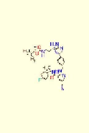 C[C@H](NC(=O)c1cc(C#N)cnc1NCc1ccc(-c2cnc(N)c(CCCNC(=O)OC(C)(C)C)n2)cc1)c1ccc(F)cc1